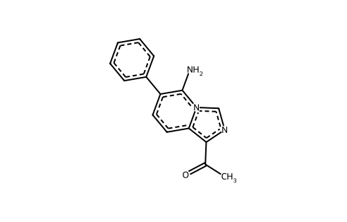 CC(=O)c1ncn2c(N)c(-c3ccccc3)ccc12